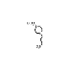 CCOC(=O)N1C[CH]N(CCO[N+](=O)[O-])CC1